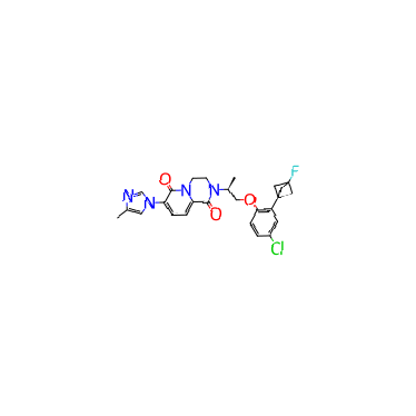 Cc1cn(-c2ccc3n(c2=O)CCN([C@@H](C)COc2ccc(Cl)cc2C24CC(F)(C2)C4)C3=O)cn1